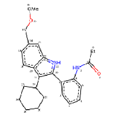 CCC(=O)Nc1ccccc1-c1[nH]c2cc(COOC)ccc2c1C1CCCCC1